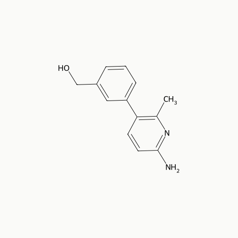 Cc1nc(N)ccc1-c1cccc(CO)c1